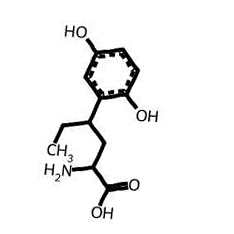 CCC(CC(N)C(=O)O)c1cc(O)ccc1O